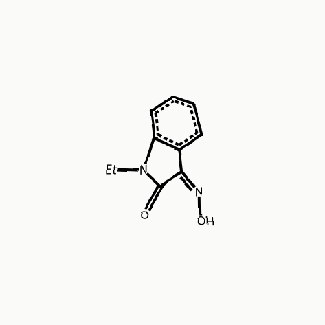 CCN1C(=O)C(=NO)c2ccccc21